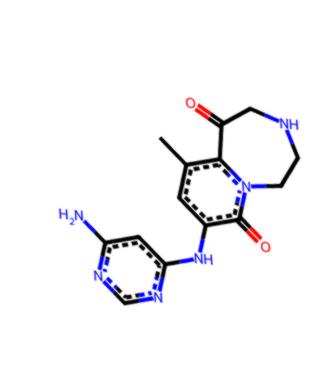 Cc1cc(Nc2cc(N)ncn2)c(=O)n2c1C(=O)CNCC2